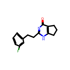 O=c1nc(CCc2cccc(F)c2)[nH]c2c1CCC2